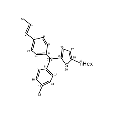 CC=Cc1ccc(N(c2ccc(C)cc2)c2ccc(CCCCCC)s2)cc1